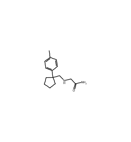 Cc1ccc(C2(CNCC(N)=O)CCCC2)cc1